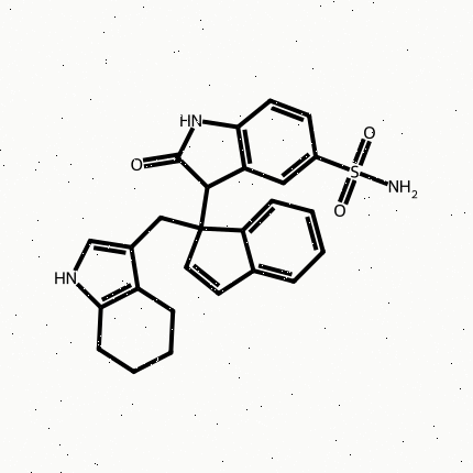 NS(=O)(=O)c1ccc2c(c1)C(C1(Cc3c[nH]c4c3CCCC4)C=Cc3ccccc31)C(=O)N2